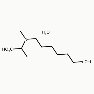 CCCCCCCCCCCCCCN(C)C(C)C(=O)O.O